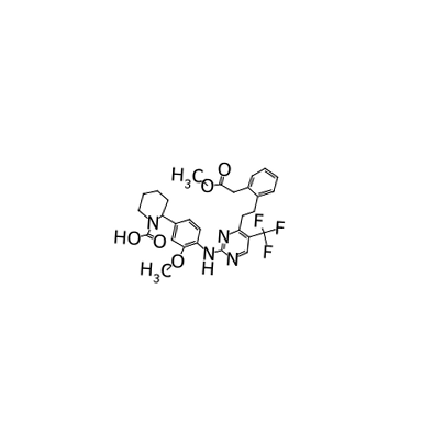 COC(=O)Cc1ccccc1CCc1nc(Nc2ccc(C3CCCCN3C(=O)O)cc2OC)ncc1C(F)(F)F